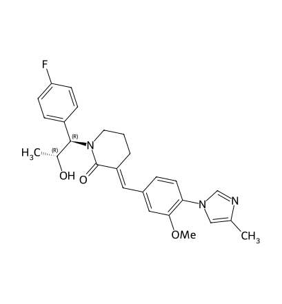 COc1cc(C=C2CCCN([C@H](c3ccc(F)cc3)[C@@H](C)O)C2=O)ccc1-n1cnc(C)c1